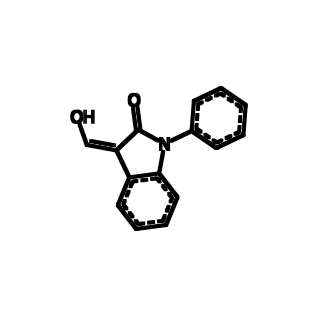 O=C1C(=CO)c2ccccc2N1c1ccccc1